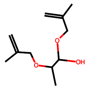 C=C(C)COC(C)C(O)OCC(=C)C